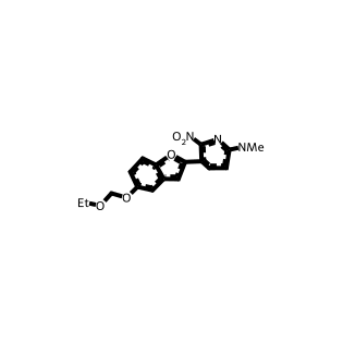 CCOCOc1ccc2oc(-c3ccc(NC)nc3[N+](=O)[O-])cc2c1